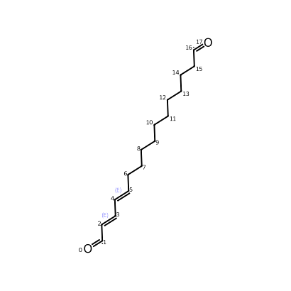 O=[C]/C=C/C=C/CCCCCCCCCC[C]=O